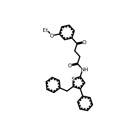 CCOc1cccc(C(=O)CCC(=O)Nc2cc(-c3ccccc3)c(Cc3ccccc3)s2)c1